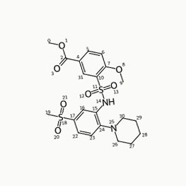 COC(=O)c1ccc(OC)c(S(=O)(=O)Nc2cc(S(C)(=O)=O)ccc2N2CCCCC2)c1